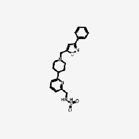 O=[SH](=O)NCc1cccc(C2CCN(Cc3cc(-c4ccccc4)no3)CC2)n1